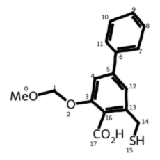 COCOc1cc(-c2ccccc2)cc(CS)c1C(=O)O